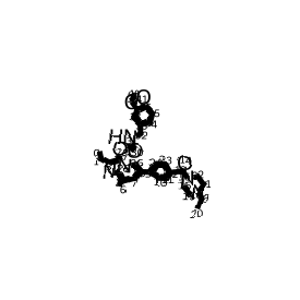 CCc1nc2c(C)cc(-c3ccc(C(=O)N4CCN(CC)CC4)cc3)cn2c1OC(=O)NCc1ccc2c(c1)OCO2